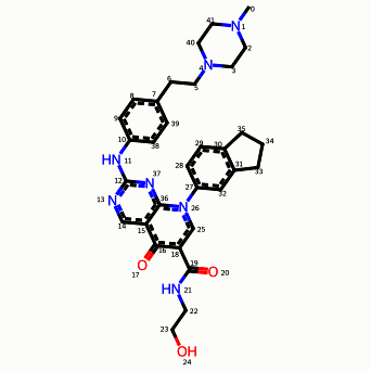 CN1CCN(CCc2ccc(Nc3ncc4c(=O)c(C(=O)NCCO)cn(-c5ccc6c(c5)CCC6)c4n3)cc2)CC1